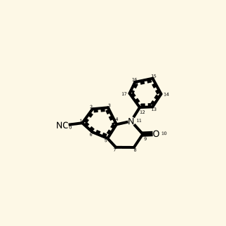 N#Cc1ccc2c(c1)CCC(=O)N2c1ccccc1